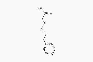 NC(=O)CCCC[CH]c1ccccn1